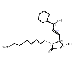 CC(=O)NCCCCCCC[C@H]1C(=O)C[C@@H](O)[C@@H]1/C=C/[C@H](O)C1CCCCC1